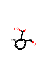 O=Cc1ccccc1C(=O)O.[NaH]